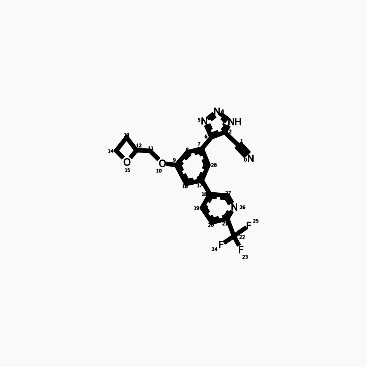 N#Cc1[nH]nnc1-c1cc(OCC2CCO2)cc(-c2ccc(C(F)(F)F)nc2)c1